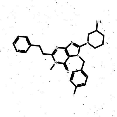 Cn1c(CCc2ccccc2)nc2nc(N3CCCC(N)C3)n(Cc3ccc(F)cc3)c2c1=O